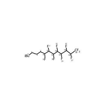 CCC(C)CCCC(F)C(F)C(F)C(F)C(F)C(F)C(F)C(F)(F)F